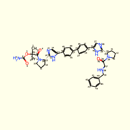 CC(C)[C@](C)(OC(N)=O)C(=O)N1CCC[C@H]1c1ncc(-c2ccc(-c3ccc(-c4cnc([C@@H]5CCCN5C(=O)CNCc5ccccc5)[nH]4)cc3)cc2)[nH]1